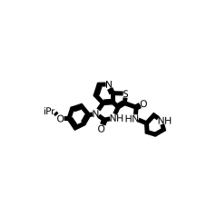 CC(C)Oc1ccc(N2C(=O)Nc3c(C(=O)NC4CCCNC4)sc4nccc2c34)cc1